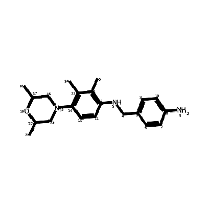 Cc1c(NCc2ccc(N)cc2)ccc(N2CC(C)OC(C)C2)c1C